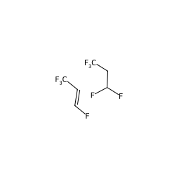 FC(F)CC(F)(F)F.FC=CC(F)(F)F